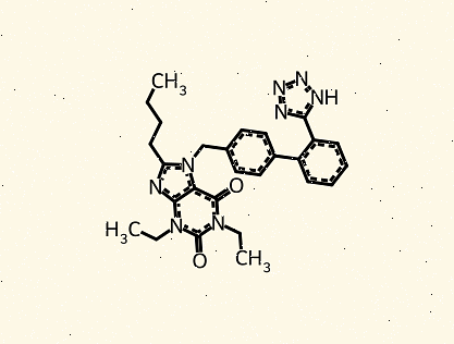 CCCCc1nc2c(c(=O)n(CC)c(=O)n2CC)n1Cc1ccc(-c2ccccc2-c2nnn[nH]2)cc1